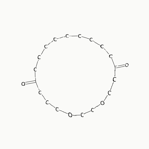 O=C1CCCCCCCCCC(=O)CCOCCOCCC1